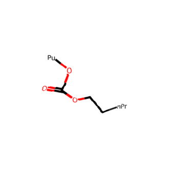 CCCCCOC(=O)[O][Pu]